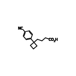 N#Cc1ccc(C2(CCCC(=O)O)CCC2)cc1